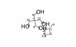 CC1CSS1.OCC(CO)(CO)CO